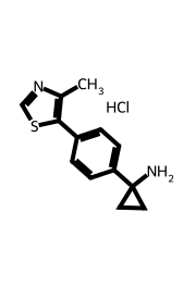 Cc1ncsc1-c1ccc(C2(N)CC2)cc1.Cl